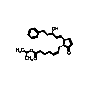 CC(C)OC(=O)CCC/C=C\C[C@H]1C(=O)C=C[C@@H]1/C=C/[C@@H](O)CCc1ccccc1